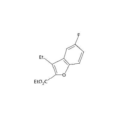 CCOC(=O)c1oc2ccc(F)cc2c1CC